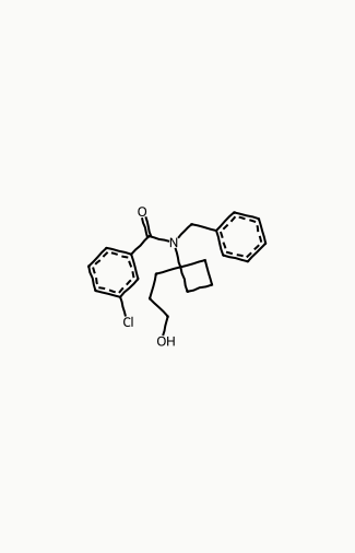 O=C(c1cccc(Cl)c1)N(Cc1ccccc1)C1(CCCO)CCC1